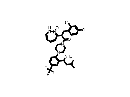 CC(C)CC(N)c1cc(C(F)(F)F)ccc1N1CCN(C(=O)C(Cc2ccc(Cl)cc2Cl)C2=[N+]([O-])NC=CC=C2)CC1